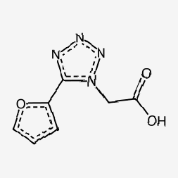 O=C(O)Cn1nnnc1-c1ccco1